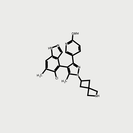 COc1ccc(-c2nn(C3CC4(CNC4)C3)c(C)c2-c2c(Cl)c(C)cc3[nH]ncc23)cn1